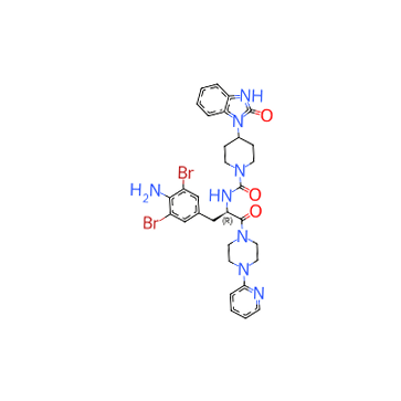 Nc1c(Br)cc(C[C@@H](NC(=O)N2CCC(n3c(=O)[nH]c4ccccc43)CC2)C(=O)N2CCN(c3ccccn3)CC2)cc1Br